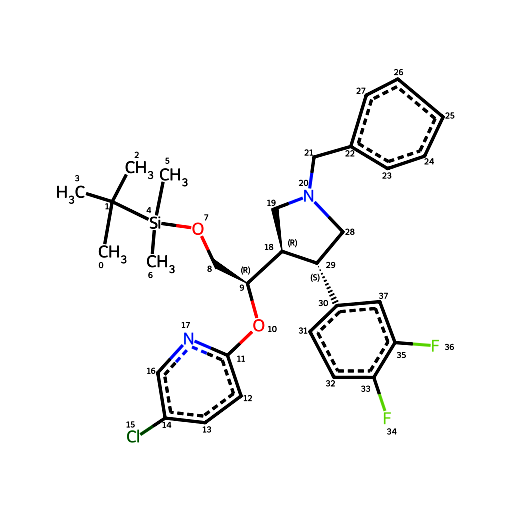 CC(C)(C)[Si](C)(C)OC[C@H](Oc1ccc(Cl)cn1)[C@H]1CN(Cc2ccccc2)C[C@@H]1c1ccc(F)c(F)c1